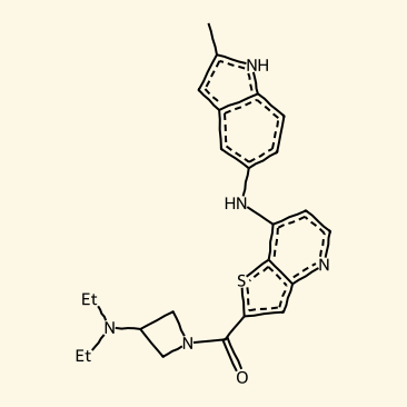 CCN(CC)C1CN(C(=O)c2cc3nccc(Nc4ccc5[nH]c(C)cc5c4)c3s2)C1